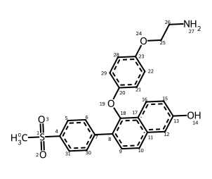 CS(=O)(=O)c1ccc(-c2ccc3cc(O)ccc3c2Oc2ccc(OCCN)cc2)cc1